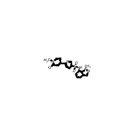 Cn1ccc(-c2ccc(S(=O)(=O)Nc3cccc4cnn(C)c34)cn2)cc1=O